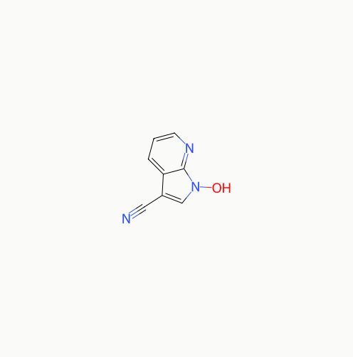 N#Cc1cn(O)c2ncccc12